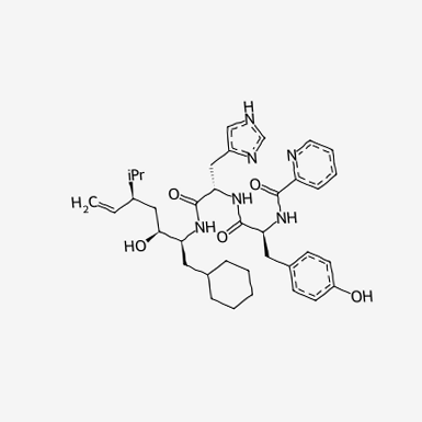 C=C[C@H](C[C@H](O)[C@H](CC1CCCCC1)NC(=O)[C@H](Cc1c[nH]cn1)NC(=O)[C@H](Cc1ccc(O)cc1)NC(=O)c1ccccn1)C(C)C